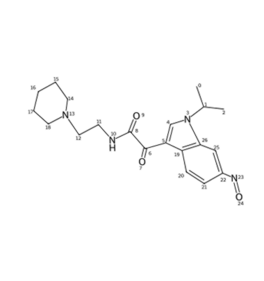 CC(C)n1cc(C(=O)C(=O)NCCN2CCCCC2)c2ccc(N=O)cc21